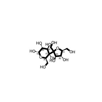 OC[C@@H]1OC(CO)([C@]2(O)[C@H](O)[C@@H](O)[C@@H](O)O[C@@H]2CO)[C@H](O)[C@H]1O